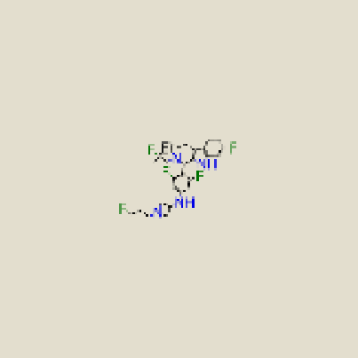 CC[C@@](C)(F)CN1[C@H](c2c(F)cc(NC3CN(CCCF)C3)cc2F)c2[nH]c3cc(F)ccc3c2C[C@H]1C